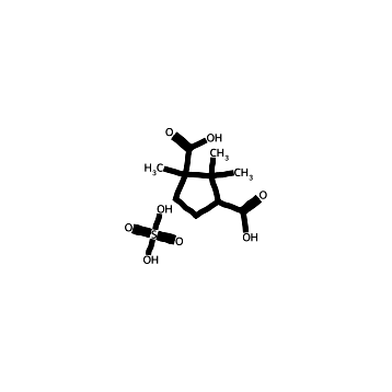 CC1(C(=O)O)CCC(C(=O)O)C1(C)C.O=S(=O)(O)O